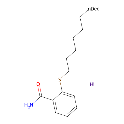 CCCCCCCCCCCCCCCCSc1ccccc1C(N)=O.I